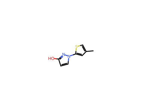 Cc1csc(-n2ccc(O)n2)c1